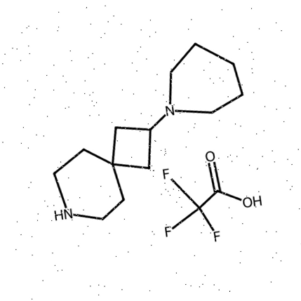 C1CCN(C2CC3(CCNCC3)C2)CC1.O=C(O)C(F)(F)F